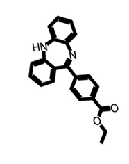 CCOC(=O)c1ccc(C2=Nc3ccccc3Nc3ccccc32)cc1